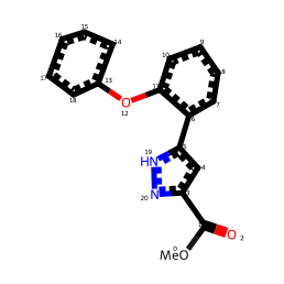 COC(=O)c1cc(-c2ccccc2Oc2ccccc2)[nH]n1